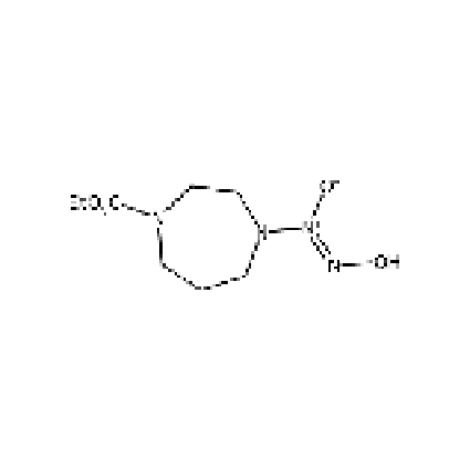 CCOC(=O)N1CCCN(/[N+]([O-])=N/O)CC1